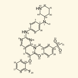 CN(c1ccc(Nc2ncc3cc(Oc4ccccc4F)c(=O)n(Cc4cccc(S(C)(=O)=O)c4)c3n2)cc1)C1CCCNC1